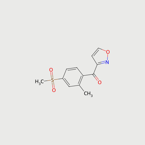 Cc1cc(S(C)(=O)=O)ccc1C(=O)c1ccon1